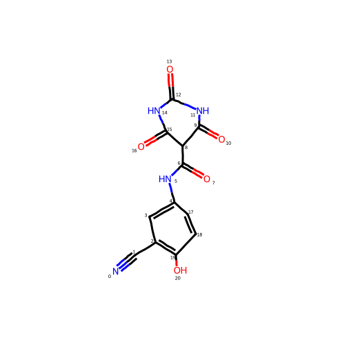 N#Cc1cc(NC(=O)C2C(=O)NC(=O)NC2=O)ccc1O